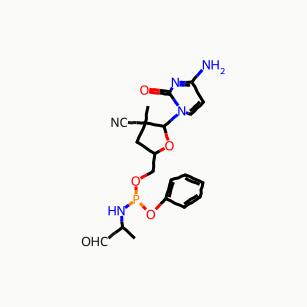 CC(C=O)NP(OCC1CC(C)(C#N)C(n2ccc(N)nc2=O)O1)Oc1ccccc1